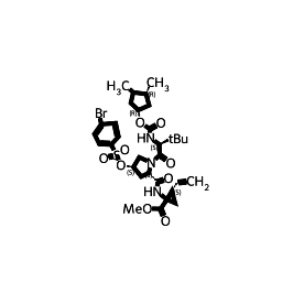 C=C[C@@H]1CC1(NC(=O)[C@@H]1C[C@H](OS(=O)(=O)c2ccc(Br)cc2)CN1C(=O)[C@@H](NC(=O)O[C@@H]1CC(C)[C@H](C)C1)C(C)(C)C)C(=O)OC